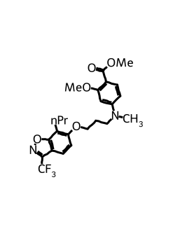 CCCc1c(OCCCN(C)c2ccc(C(=O)OC)c(OC)c2)ccc2c(C(F)(F)F)noc12